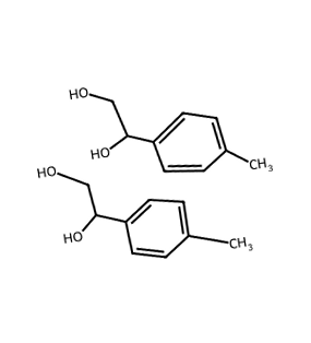 Cc1ccc(C(O)CO)cc1.Cc1ccc(C(O)CO)cc1